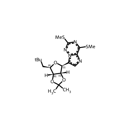 CSc1nc(SC)c2ncc([C@@H]3O[C@H](CC(C)(C)C)[C@H]4OC(C)(C)O[C@H]43)n2n1